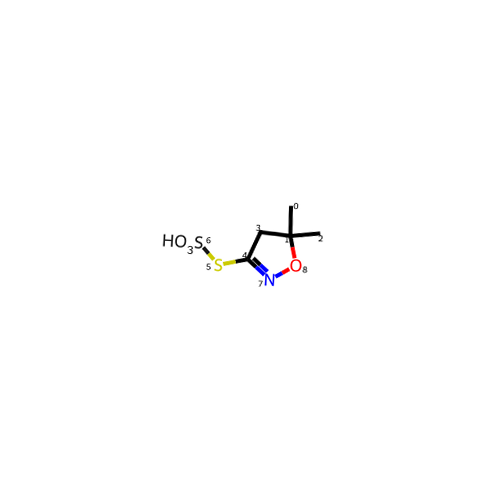 CC1(C)CC(SS(=O)(=O)O)=NO1